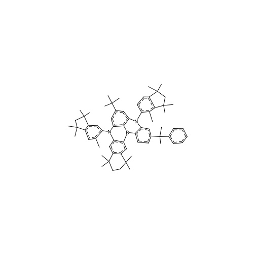 Cc1cc2c(cc1N1c3cc4c(cc3B3c5ccc(C(C)(C)c6ccccc6)cc5N(c5ccc6c(c5C)C(C)(C)CC6(C)C)c5cc(C(C)(C)C)cc1c53)C(C)(C)CCC4(C)C)C(C)(C)CC2(C)C